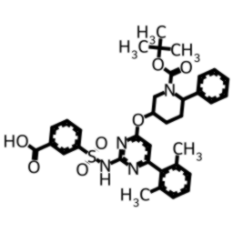 Cc1cccc(C)c1-c1cc(OC2CCC(c3ccccc3)N(C(=O)OC(C)(C)C)C2)nc(NS(=O)(=O)c2cccc(C(=O)O)c2)n1